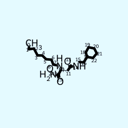 CCCCCCCC(=O)N[C@H](CC(=O)NCCC1CCCCC1)C(N)=O